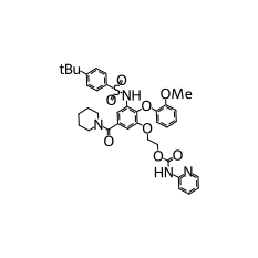 COc1ccccc1Oc1c(NS(=O)(=O)c2ccc(C(C)(C)C)cc2)cc(C(=O)N2CCCCC2)cc1OCCOC(=O)Nc1ccccn1